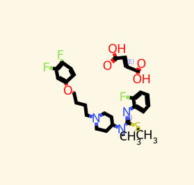 CS/C(=N\c1ccccc1F)N(C)C1CCN(CCCCOc2ccc(F)c(F)c2)CC1.O=C(O)/C=C/C(=O)O